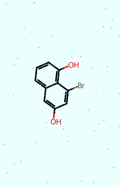 Oc1cc(Br)c2c(O)cccc2c1